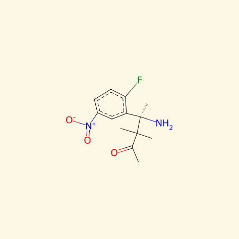 CC(=O)C(C)(C)[C@](C)(N)c1cc([N+](=O)[O-])ccc1F